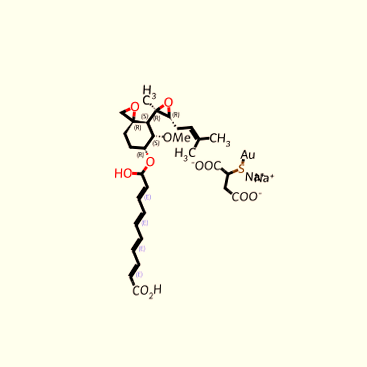 CO[C@@H]1[C@H](OC(O)/C=C/C=C/C=C/C=C/C(=O)O)CC[C@]2(CO2)[C@H]1[C@@]1(C)O[C@@H]1CC=C(C)C.O=C([O-])CC([S][Au])C(=O)[O-].[Na+].[Na+]